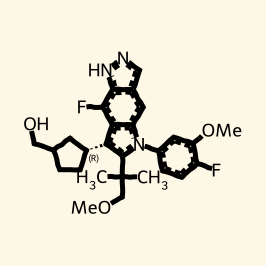 COCC(C)(C)c1c([C@@H]2CCC(CO)C2)c2c(F)c3[nH]ncc3cc2n1-c1ccc(F)c(OC)c1